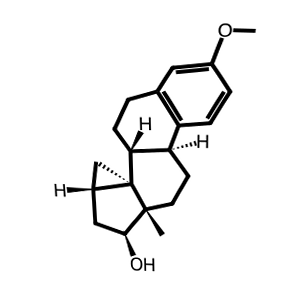 COc1ccc2c(c1)CC[C@@H]1[C@@H]2CC[C@]2(C)[C@@H](O)C[C@@H]3C[C@]312